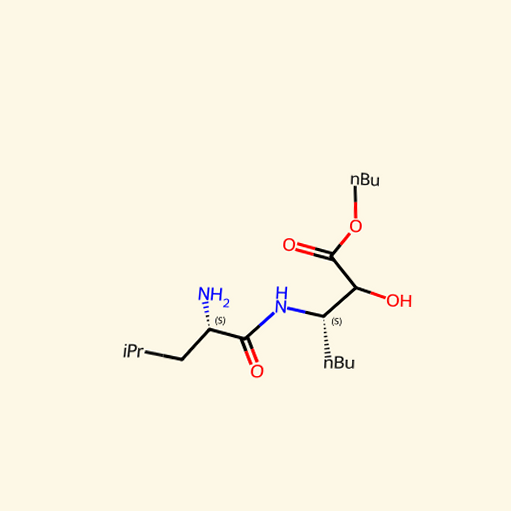 CCCCOC(=O)C(O)[C@H](CCCC)NC(=O)[C@@H](N)CC(C)C